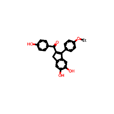 CCOc1ccc(C2=C(C(=O)c3ccc(O)cc3)Cc3cc(O)c(O)cc32)cc1